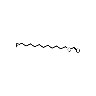 O=COCCCCCCCCCCCF